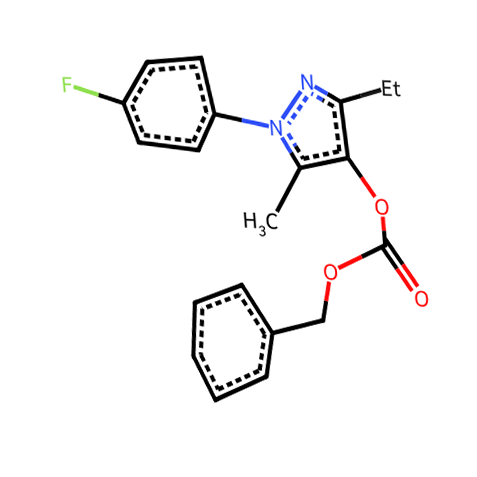 CCc1nn(-c2ccc(F)cc2)c(C)c1OC(=O)OCc1ccccc1